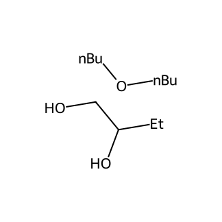 CCC(O)CO.CCCCOCCCC